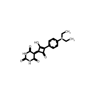 CCN(CC)c1ccc(C2=C(O)C(=C3C(=O)NC(=O)NC3=O)C2=O)cc1